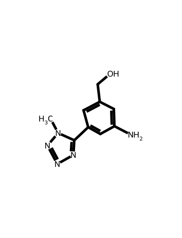 Cn1nnnc1-c1cc(N)cc(CO)c1